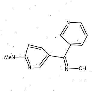 CNc1ccc(/C(=N/O)c2cccnc2)cn1